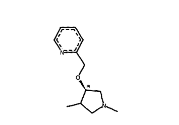 CC1CN(C)C[C@@H]1OCc1ccccn1